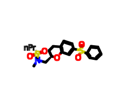 CCCS(=O)(=O)N(C)C[C@H]1CCc2ccc(S(=O)(=O)c3ccccc3)cc2O1